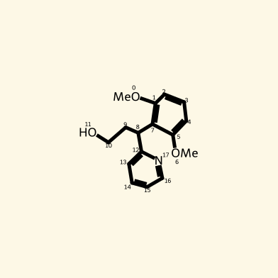 COc1cccc(OC)c1C(CCO)c1ccccn1